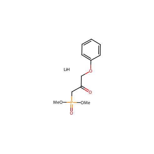 COP(=O)(CC(=O)COc1ccccc1)OC.[LiH]